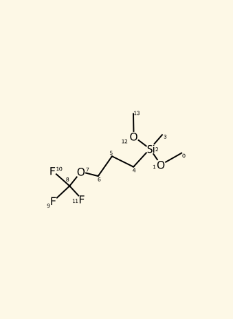 CO[Si](C)(CCCOC(F)(F)F)OC